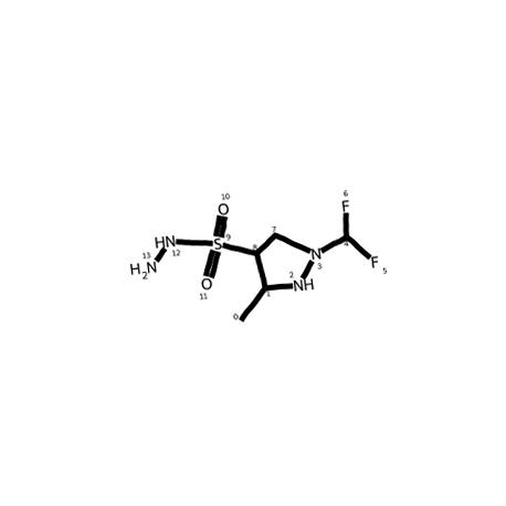 CC1NN(C(F)F)CC1S(=O)(=O)NN